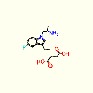 CCc1cn(CC(C)N)c2ccc(F)cc12.O=C(O)/C=C/C(=O)O